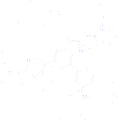 CCNC(=O)Nc1nc2cc(-c3cnc(OC)nc3)cc(-c3cc(OC)ccn3)c2[nH]1